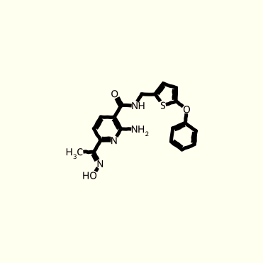 CC(=NO)c1ccc(C(=O)NCc2ccc(Oc3ccccc3)s2)c(N)n1